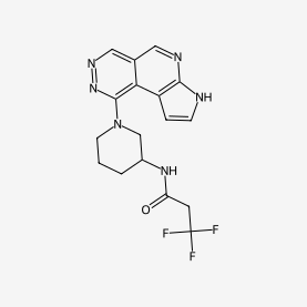 O=C(CC(F)(F)F)NC1CCCN(c2nncc3cnc4[nH]ccc4c23)C1